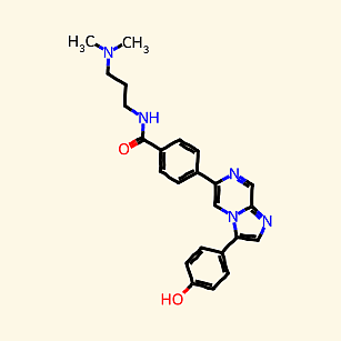 CN(C)CCCNC(=O)c1ccc(-c2cn3c(-c4ccc(O)cc4)cnc3cn2)cc1